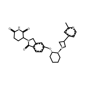 Cc1cc(C2CN([C@H]3CCCC[C@@H]3Oc3ccc4c(c3)CN(C3CCC(=O)NC3=O)C4=O)C2)ccn1